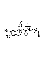 C#CCC(C)(C)CCN(C(=O)CN1CCc2cc(OC)c(Br)cc2C1COCC)C(C)(C)C